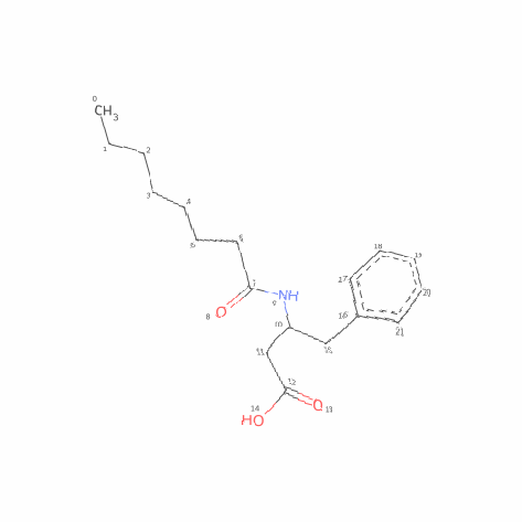 CCCCCCCC(=O)NC(CC(=O)O)Cc1ccccc1